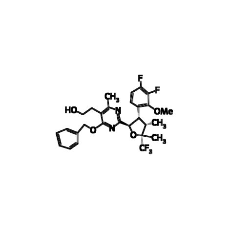 COc1c([C@H]2[C@H](c3nc(C)c(CCO)c(OCc4ccccc4)n3)O[C@@](C)(C(F)(F)F)[C@H]2C)ccc(F)c1F